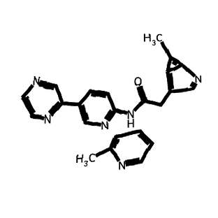 Cc1c2ncc(CC(=O)Nc3ccc(-c4cnccn4)cn3)c1-2.Cc1ccccn1